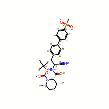 C[C@@H]1CC[C@H](C)N(C(=O)OC(C)(C)C)[C@@H]1C(=O)N[C@H](C#N)Cc1ccc(-c2ccc(S(C)(=O)=O)cc2)cc1